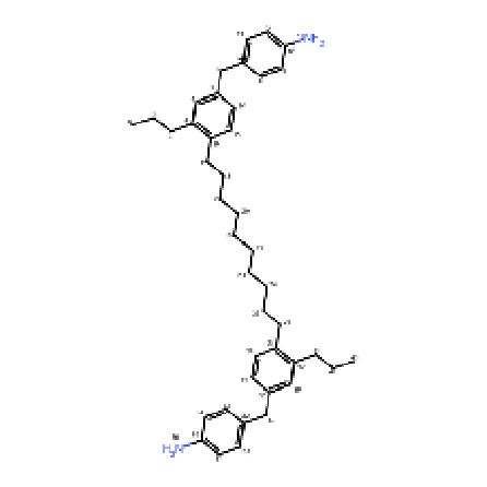 CCCc1cc(Cc2ccc(N)cc2)ccc1CCCCCCCCCCc1ccc(Cc2ccc(N)cc2)cc1CCC